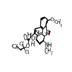 CN[C@@H]1CC[C@@]2(O)[C@H]3Cc4ccc(OC)c5c4[C@@]2(CCN3C(=O)OC(Cl)(Cl)CCl)[C@H]1O5